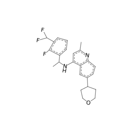 Cc1cc(NC(C)c2cccc(C(F)F)c2F)c2cc(C3CCOCC3)ccc2n1